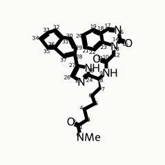 CNC(=O)CCCCC[C@H](NC(=O)Cn1c(=O)ncc2ccccc21)c1ncc(-c2ccc3ccccc3c2)[nH]1